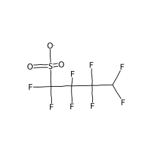 [O]S(=O)(=O)C(F)(F)C(F)(F)C(F)(F)C(F)F